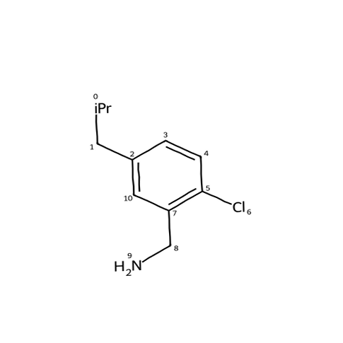 CC(C)Cc1ccc(Cl)c(CN)c1